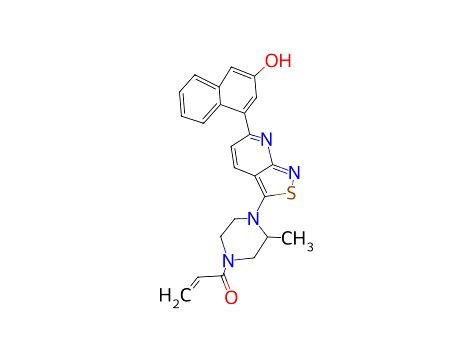 C=CC(=O)N1CCN(c2snc3nc(-c4cc(O)cc5ccccc45)ccc23)C(C)C1